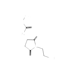 CC(C)(C)OC(=O)N[C@H]1CC(=O)N(CCO)C1=O